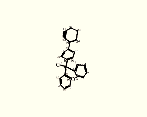 Clc1ccccc1C(Cl)(c1ccccc1)c1ccc(C2C#CCCC2)cc1